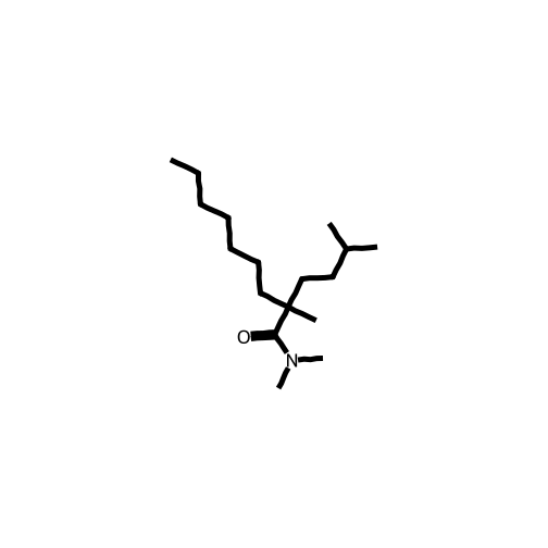 CCCCCCCC(C)(CCC(C)C)C(=O)N(C)C